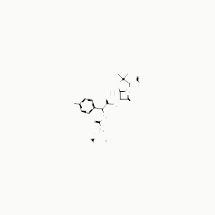 CC1(C)S[C@@H]2[C@H](NC(=O)C(NC(=O)NP(=O)(O)O)c3ccc(O)cc3)C(=O)N2[C@H]1C(=O)O